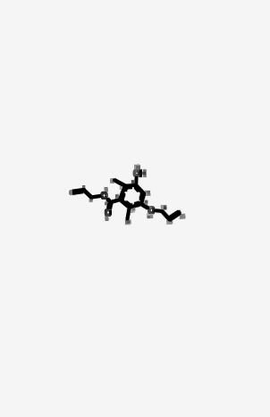 C=CCOC(=O)c1c(C)c(O)cc(OCC=C)c1C